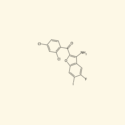 Nc1c(C(=O)c2ccc(Cl)cc2Cl)oc2cc(I)c(F)cc12